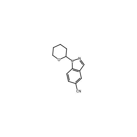 N#Cc1ccc2c(cnn2C2CCCCO2)c1